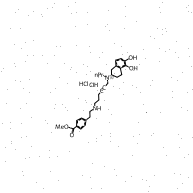 CCCN(CCCCCCNCCc1ccc(C(=O)OC)cc1)[C@H]1CCc2c(ccc(O)c2O)C1.Cl.Cl